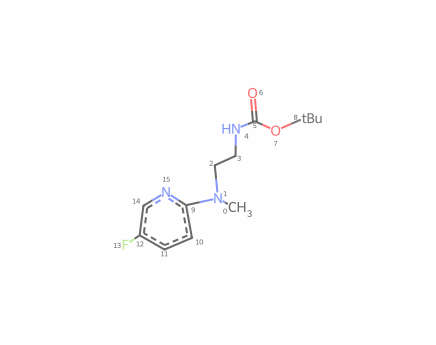 CN(CCNC(=O)OC(C)(C)C)c1ccc(F)cn1